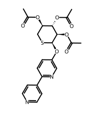 CC(=O)O[C@@H]1[C@@H](OC(C)=O)[C@@H](Oc2ccc(-c3ccncc3)nc2)SC[C@H]1OC(C)=O